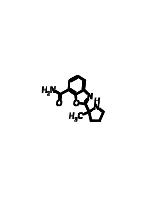 CC1(c2nc3cccc(C(N)=O)c3o2)CCCN1